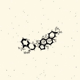 CNN(CC(=O)[C@H]1CC[C@H]2[C@@H]3CC[C@H]4C[C@](C)(O)CC[C@]4(C)[C@@]3(N)CCC12C)c1cnccc1N